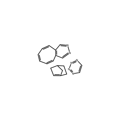 C1=C2CCC(C1)C2.C1=C\C=C/c2cnncc2\C=C/1.c1cnnnn1